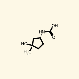 C[C@]1(O)CC[C@@H](NC(=O)O)C1